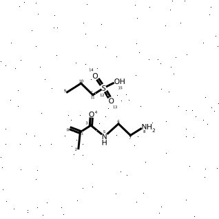 C=C(C)C(=O)NCCN.CCCS(=O)(=O)O